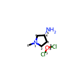 CN1CC[C@@H](N)C1.ClOCl